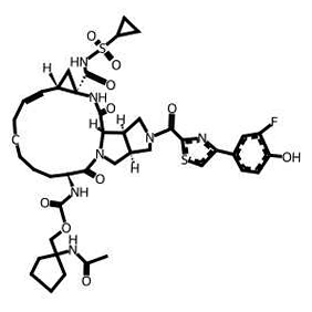 CC(=O)NC1(COC(=O)N[C@H]2CCCCC/C=C\[C@@H]3C[C@@]3(C(=O)NS(=O)(=O)C3CC3)NC(=O)[C@@H]3[C@H]4CN(C(=O)c5nc(-c6ccc(O)c(F)c6)cs5)C[C@H]4CN3C2=O)CCCC1